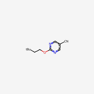 CC(C)(C)CCOc1ncc(C#N)cn1